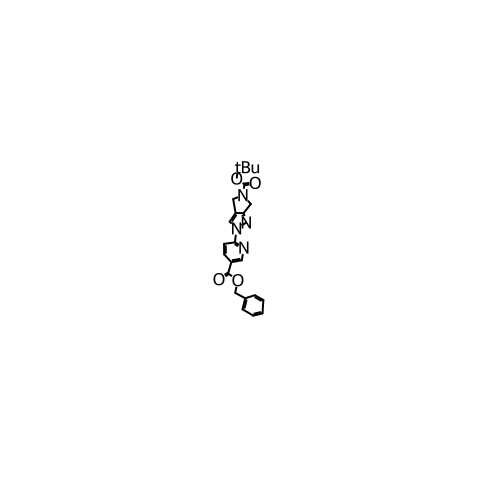 CC(C)(C)OC(=O)N1Cc2cn(-c3ccc(C(=O)OCc4ccccc4)cn3)nc2C1